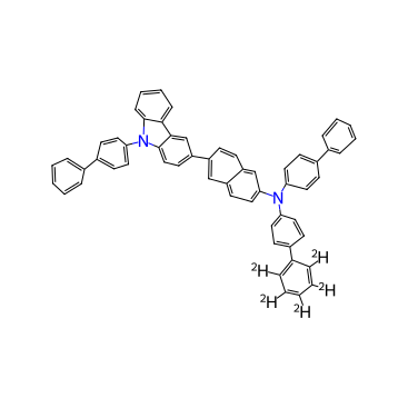 [2H]c1c([2H])c([2H])c(-c2ccc(N(c3ccc(-c4ccccc4)cc3)c3ccc4cc(-c5ccc6c(c5)c5ccccc5n6-c5ccc(-c6ccccc6)cc5)ccc4c3)cc2)c([2H])c1[2H]